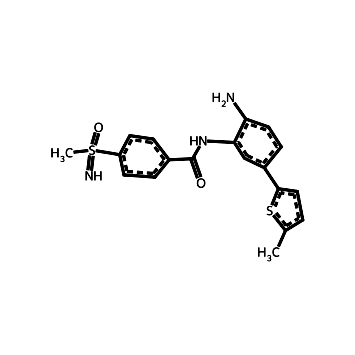 Cc1ccc(-c2ccc(N)c(NC(=O)c3ccc(S(C)(=N)=O)cc3)c2)s1